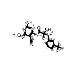 CSc1nc(N)nc(NC(=O)C(C)(C)Nc2cccc(C(F)(F)F)c2)c1C#N